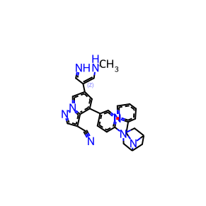 CN/C=C(\C=N)c1cc(-c2ccc(N3CC4CC(C3)N4Cc3ccccn3)nc2)c2c(C#N)cnn2c1